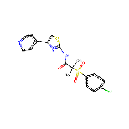 CC(C)(C(=O)Nc1nc(-c2ccncc2)cs1)S(=O)(=O)c1ccc(Cl)cc1